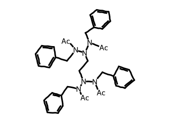 CC(=O)N(Cc1ccccc1)N(CCN(N(Cc1ccccc1)C(C)=O)N(Cc1ccccc1)C(C)=O)N(Cc1ccccc1)C(C)=O